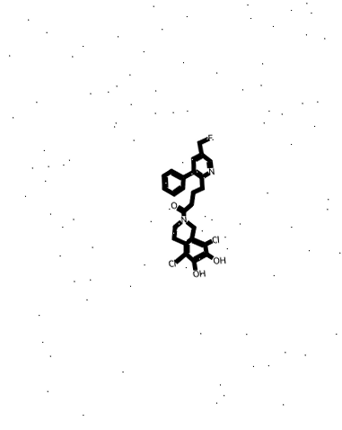 O=C(CCCc1ncc(CF)cc1-c1ccccc1)N1CCc2c(Cl)c(O)c(O)c(Cl)c2C1